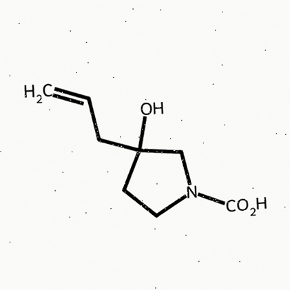 C=CCC1(O)CCN(C(=O)O)C1